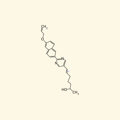 C=CCOc1ccc2cc(-c3ncc(/C=C/CCCC(C)O)cn3)ccc2c1